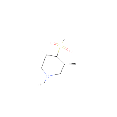 CC(C)N1C[C@H](C)C(S(C)(=O)=O)[C@@H](C)C1